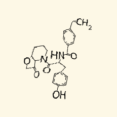 C=Cc1ccc(C(=O)NC(Cc2ccc(O)cc2)C(=O)N2CCCC3OCC(=O)C32)cc1